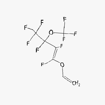 C=COC(F)=C(F)C(F)(OC(F)(F)F)C(F)(F)F